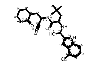 CC(C)(C)CC(NC(O)c1cc2c(Cl)cccc2[nH]1)C(=O)NC(C#N)CC1CCCNC1=O